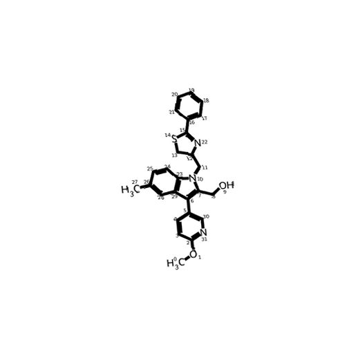 COc1ccc(-c2c(CO)n(CC3CSC(c4ccccc4)=N3)c3ccc(C)cc23)cn1